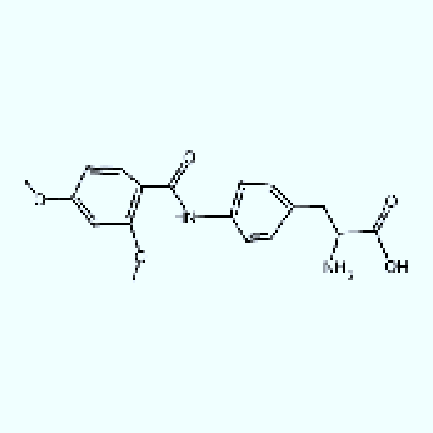 COc1ccc(C(=O)Nc2ccc(CC(N)C(=O)O)cc2)c(OC)c1